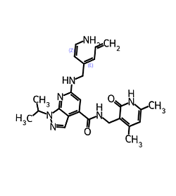 C=C/C=C(\C=C/N)CNc1cc(C(=O)NCc2c(C)cc(C)[nH]c2=O)c2cnn(C(C)C)c2n1